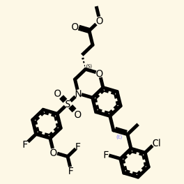 COC(=O)CC[C@H]1CN(S(=O)(=O)c2ccc(F)c(OC(F)F)c2)c2cc(/C=C(\C)c3c(F)cccc3Cl)ccc2O1